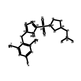 CC(C)c1cc(F)cc(C(C)C)c1Cc1nnc(S(=O)(=O)N2CCC(CN(C)C)C2)[nH]1